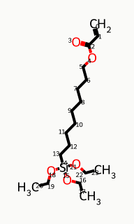 C=CC(=O)OCCCCCCCCC[Si](OCC)(OCC)OCC